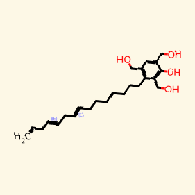 C=CC/C=C/C/C=C/CCCCCCCc1c(CO)cc(CO)c(O)c1CO